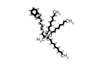 CCCCCCCCO[Si](OCCCCCCCC)(OCCCCCCCC)C(C)CSSSSSc1nc2ccccc2s1